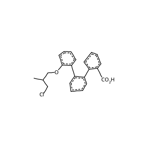 CC(CCl)COc1ccccc1-c1ccccc1-c1ccccc1C(=O)O